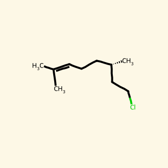 CC(C)=CCC[C@H](C)CCCl